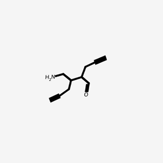 C#CCC(C=O)C(CN)CC#C